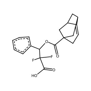 O=C(OC(c1ccccc1)C(F)(F)C(=O)O)C12CC=C3C(CC3C1)C2